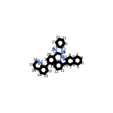 c1ccc2cc3c(cc2c1)c1ccccc1n3-c1nc2ccccc2nc1-c1ccc(-c2cccc3cccnc23)cc1